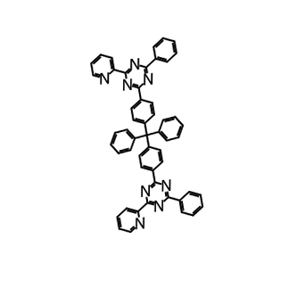 c1ccc(-c2nc(-c3ccc(C(c4ccccc4)(c4ccccc4)c4ccc(-c5nc(-c6ccccc6)nc(-c6ccccn6)n5)cc4)cc3)nc(-c3ccccn3)n2)cc1